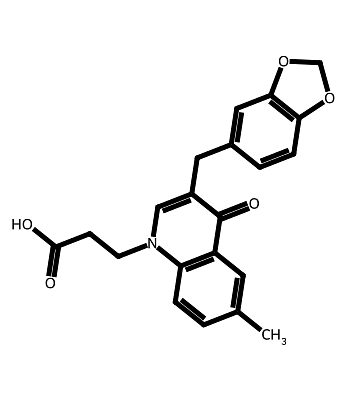 Cc1ccc2c(c1)c(=O)c(Cc1ccc3c(c1)OCO3)cn2CCC(=O)O